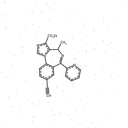 C#Cc1ccc2c(c1)C(c1ccccn1)=NC(C)c1c(C(=O)OCC)ncn1-2